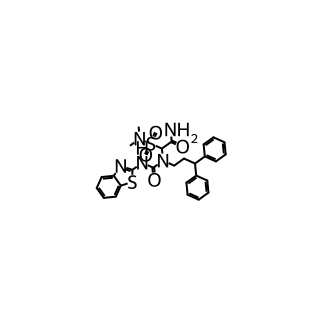 CN(C)S(=O)(=O)C(C(N)=O)N(CCC(c1ccccc1)c1ccccc1)C(=O)Nc1nc2ccccc2s1